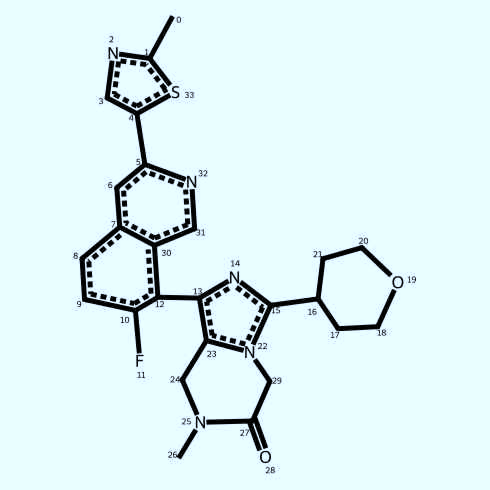 Cc1ncc(-c2cc3ccc(F)c(-c4nc(C5CCOCC5)n5c4CN(C)C(=O)C5)c3cn2)s1